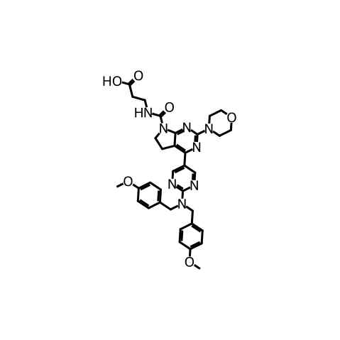 COc1ccc(CN(Cc2ccc(OC)cc2)c2ncc(-c3nc(N4CCOCC4)nc4c3CCN4C(=O)NCCC(=O)O)cn2)cc1